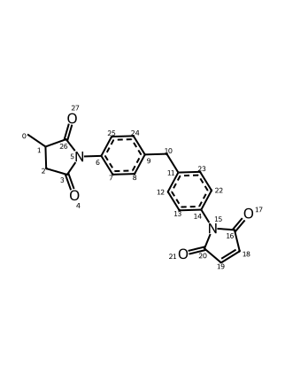 CC1CC(=O)N(c2ccc(Cc3ccc(N4C(=O)C=CC4=O)cc3)cc2)C1=O